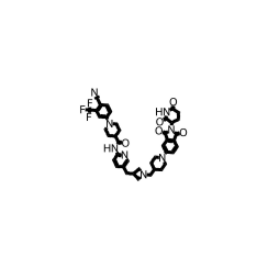 N#Cc1ccc(N2CCC(C(=O)Nc3ccc(CC4CN(CC5CCN(c6ccc7c(c6)C(=O)N(C6CCC(=O)NC6=O)C7=O)CC5)C4)cn3)CC2)cc1C(F)(F)F